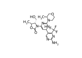 CC1OC(=O)N(C2=CC(c3cnc(N)nc3C(F)(F)F)NC(N3CCOC[C@@H]3C)=N2)[C@H]1CO